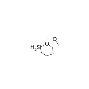 C1CC[SiH2]OC1.COC